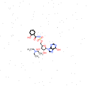 CCN(CC)CC.O=C(NS(=O)(=O)OC[C@H]1O[C@@H](n2cnc3c(O)ncnc32)[C@H](O)[C@@H]1O)c1ccccc1O